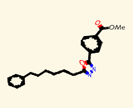 COC(=O)c1ccc(-c2nnc(CCCCCCc3ccccc3)o2)cc1